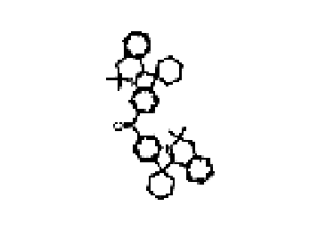 CC1(C)Cc2ccccc2C(C2(c3ccc(C(=O)c4ccc(C5(C6=NC(C)(C)Cc7ccccc76)CCCCC5)cc4)cc3)CCCCC2)=N1